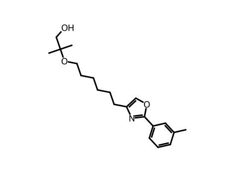 Cc1cccc(-c2nc(CCCCCCOC(C)(C)CO)co2)c1